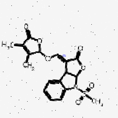 CC1=C(C)C(O/C=C2/C(=O)OC3C2c2ccccc2N3S(C)(=O)=O)OC1=O